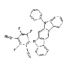 N#Cc1c(F)c(F)c(-n2c3ccccc3c3cc4c5ccccc5n(-c5ccccc5)c4cc32)c(C#N)c1F